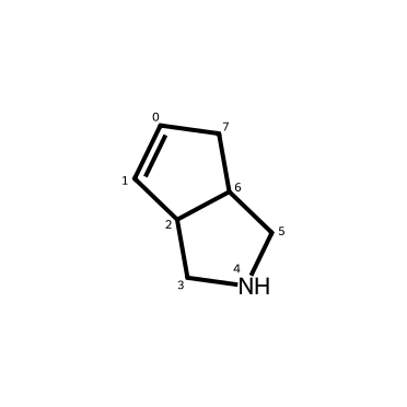 C1=CC2CNCC2C1